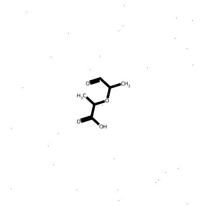 CC(C=O)OC(C)C(=O)O